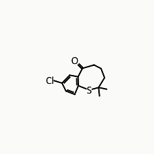 CC1(C)CCCC(=O)c2cc(Cl)ccc2S1